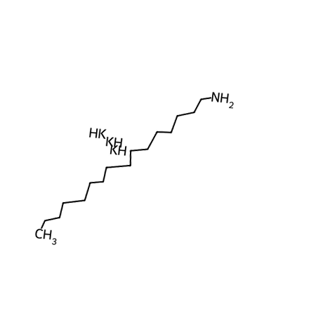 CCCCCCCCCCCCCCCCN.[KH].[KH].[KH]